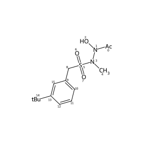 CC(=O)N(O)N(C)S(=O)(=O)Cc1cccc(C(C)(C)C)c1